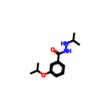 CC(C)NNC(=O)c1cccc(OC(C)C)c1